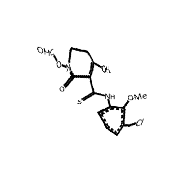 COc1c(Cl)cccc1NC(=S)C1=C(O)CCN(OC=O)C1=O